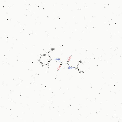 C[C@@H](C=O)NC(=O)C(=O)Nc1ccccc1C(C)(C)C